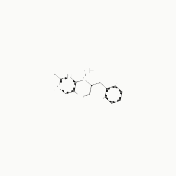 CN1c2nc(Cl)ncc2OCC1Cc1ccccc1